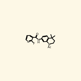 CC(=O)N1CCC(C)(C)c2ccc(NC(=O)c3cccnc3F)cc21